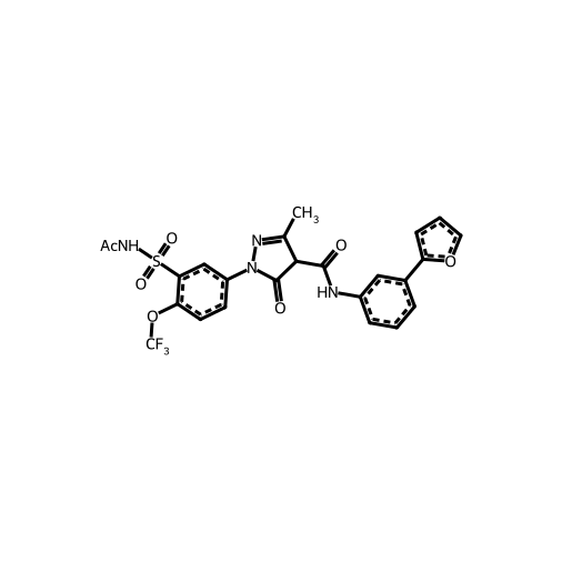 CC(=O)NS(=O)(=O)c1cc(N2N=C(C)C(C(=O)Nc3cccc(-c4ccco4)c3)C2=O)ccc1OC(F)(F)F